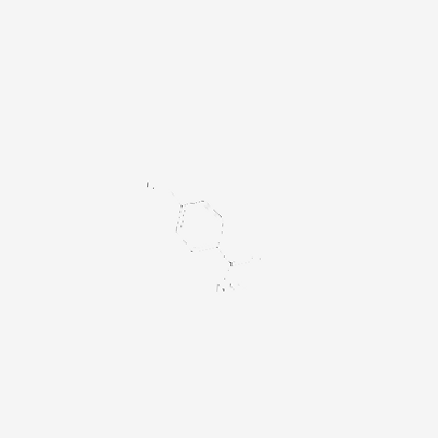 CCCc1ccc(C(=O)NC)cc1